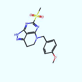 COc1ccc(CN2CCc3n[nH]c4nc(S(C)(=O)=O)nc2c34)cc1